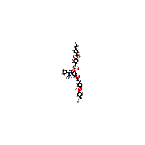 CCCC1CCC(C(=O)Oc2ccc(CCC(=O)Oc3ccc(OC(=O)CCc4ccc(OC(=O)C5CCC(CCC)CC5)cc4)c4nc(-c5ccccc5)c(C)nc34)cc2)CC1